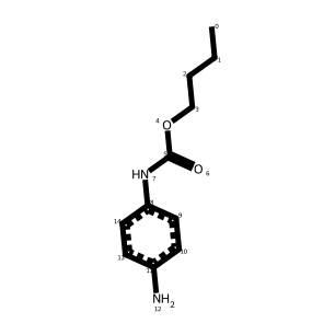 CCCCOC(=O)Nc1ccc(N)cc1